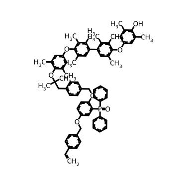 C=Cc1ccc(COc2ccc(OCc3ccc(CC(C)(C)Oc4c(C)cc(Oc5c(C)cc(-c6cc(C)c(Oc7cc(C)c(O)c(C)c7)c(C)c6C)c(C)c5C)cc4C)cc3)c(P(=O)(c3ccccc3)c3ccccc3)c2)cc1